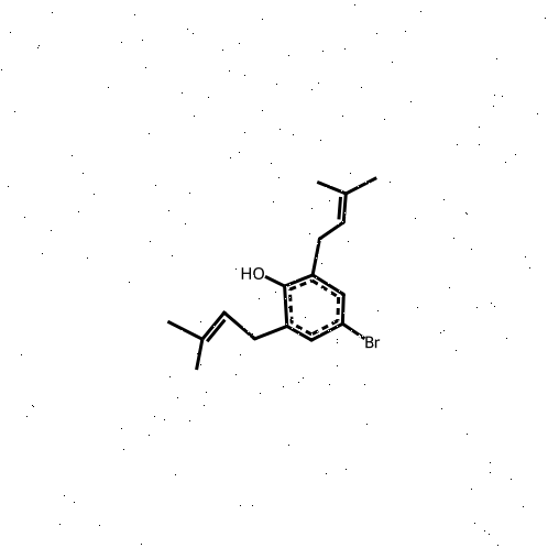 CC(C)=CCc1cc(Br)cc(CC=C(C)C)c1O